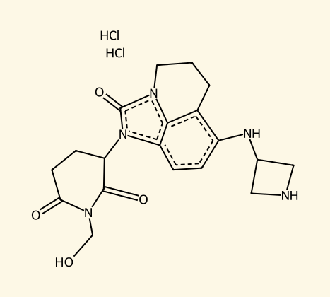 Cl.Cl.O=C1CCC(n2c(=O)n3c4c(c(NC5CNC5)ccc42)CCC3)C(=O)N1CO